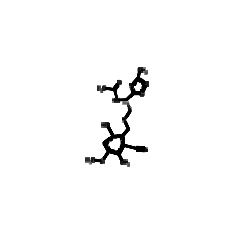 COc1cc(O)c(CSC[C@H](NC(C)=O)c2nc(C)no2)c(C#N)c1C